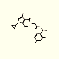 Cc1cn(C2CC2)c2cnn(CC(=O)N[C@@H](C)c3ccc(F)cc3Cl)c(=O)c12